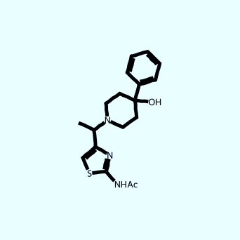 CC(=O)Nc1nc(C(C)N2CCC(O)(c3ccccc3)CC2)cs1